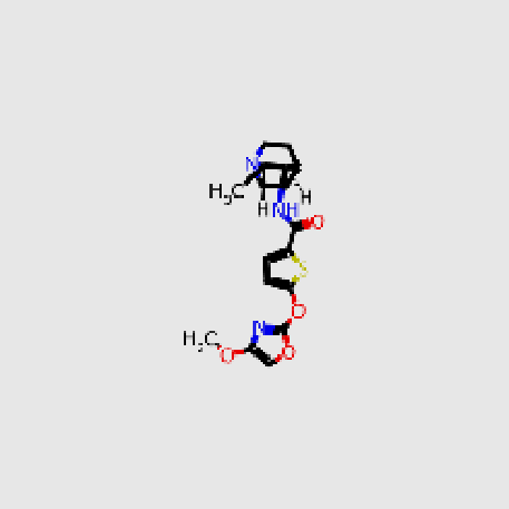 COc1coc(Oc2ccc(C(=O)N[C@@H]3C4CCN(CC4)[C@H]3C)s2)n1